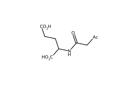 CC(=O)CC(=O)NC(CCC(=O)O)C(=O)O